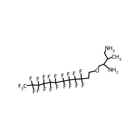 CC(CN)C(N)COCCC(F)(F)C(F)(F)C(F)(F)C(F)(F)C(F)(F)C(F)(F)C(F)(F)C(F)(F)C(F)(F)C(F)(F)F